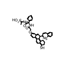 C[C@H](NC(=O)[C@H](NC(=O)COc1ccc2c(c1)=CC(C1=NSc3ccccc3C=C1)c1c3c(ccc1=2)=C(S)CCC3)c1ccccc1)C(=O)O